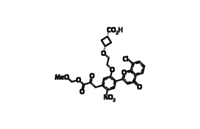 COCOC(=O)C(=O)Cc1cc(OCCO[C@H]2C[C@@H](C(=O)O)C2)c(-c2cc(=O)c3cccc(Cl)c3o2)cc1[N+](=O)[O-]